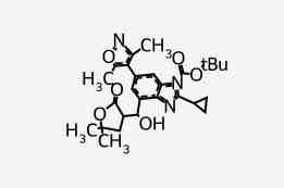 Cc1noc(C)c1-c1cc(C(O)C2CC(C)(C)OC2=O)c2nc(C3CC3)n(C(=O)OC(C)(C)C)c2c1